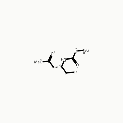 COC(=O)C[C@@H](CI)NC(=O)OC(C)(C)C